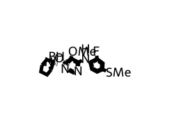 BN1C2CCC1[C@@H](Oc1ncnc(Nc3ccc(SC)cc3F)c1OC)C2